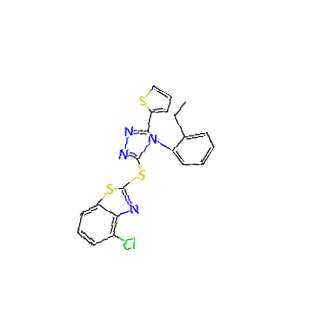 CCc1ccccc1-n1c(Sc2nc3c(Cl)cccc3s2)nnc1-c1cccs1